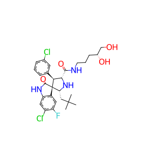 CC(C)(C)C[C@H]1N[C@@H](C(=O)NCCC[C@@H](O)CO)[C@H](c2cccc(Cl)c2)[C@@]12C(=O)Nc1cc(Cl)c(F)cc12